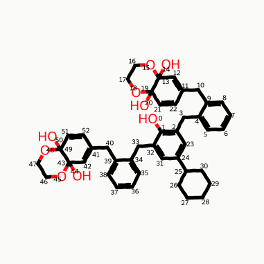 Oc1c(Cc2ccccc2CC2=CC3(O)OCCOC3(O)C=C2)cc(C2CCCCC2)cc1Cc1ccccc1CC1=CC2(O)OCCOC2(O)C=C1